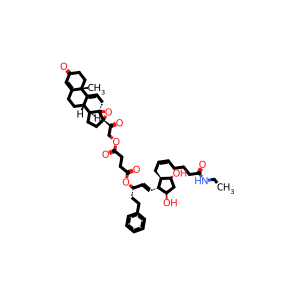 CCNC(=O)CCC/C=C\C[C@@H]1[C@@H](/C=C/[C@H](CCc2ccccc2)OC(=O)CCC(=O)OCC(=O)[C@@]23CC[C@H]4[C@@H]5CCC6=CC(=O)CC[C@]6(C)C5=CC[C@@]42O3)[C@H](O)C[C@@H]1O